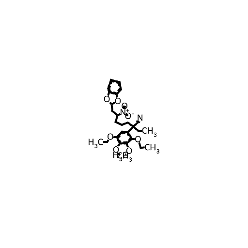 CCOc1cc(C(C#N)(CC)CCCC(CC2Oc3ccccc3O2)[N+](=O)[O-])c(OCC)c(OC)c1OC